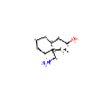 CC1(CN)CCCCC1CCO